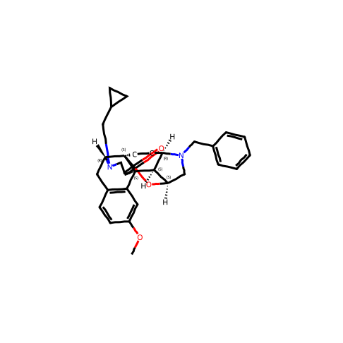 COc1ccc2c(c1)[C@]13C(=O)CN(CC4CC4)[C@H](C2)[C@]12CC[C@@H]1[C@H]3[C@@H](CN1Cc1ccccc1)O2